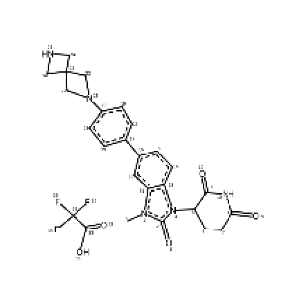 Cn1c(=O)n(C2CCC(=O)NC2=O)c2ccc(-c3ccc(N4CC5(CNC5)C4)cc3)cc21.O=C(O)C(F)(F)F